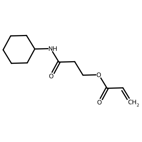 C=CC(=O)OCCC(=O)NC1CCCCC1